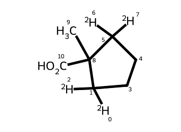 [2H]C1([2H])CCC([2H])([2H])C1(C)C(=O)O